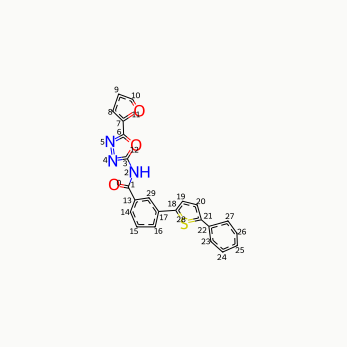 O=C(Nc1nnc(-c2ccco2)o1)c1cccc(-c2ccc(-c3ccccc3)s2)c1